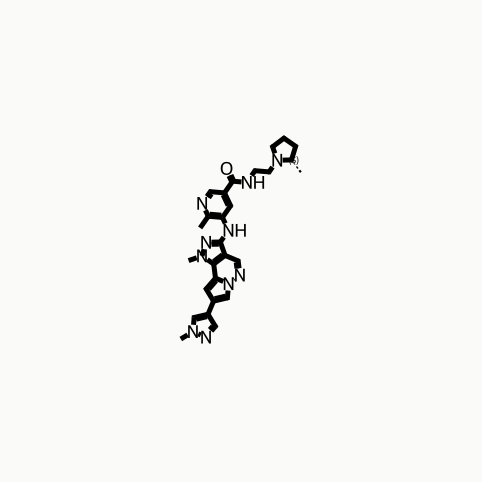 Cc1ncc(C(=O)NCCN2CCC[C@@H]2C)cc1Nc1nn(C)c2c1cnn1cc(-c3cnn(C)c3)cc21